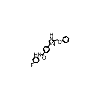 O=C(Nc1ccc(F)cc1)c1ccc(-c2c[nH]c(COc3ccccc3)n2)cc1